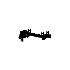 O=CNc1ccc(C(=O)NCCCOCCOCCOCCCNC(=O)CNc2cccc3c2C(=O)N(C2CCC(=O)NC2=O)C3=O)cc1